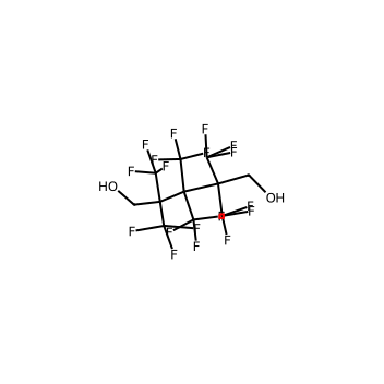 OCC(C(F)(F)F)(C(F)(F)F)C(C(F)(F)F)(C(F)(F)F)C(CO)(C(F)(F)F)C(F)(F)F